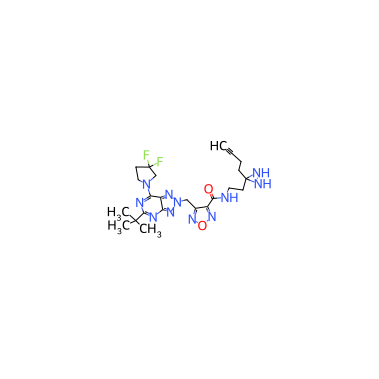 C#CCCC1(CCNC(=O)c2nonc2Cn2nc3nc(C(C)(C)C)nc(N4CCC(F)(F)C4)c3n2)NN1